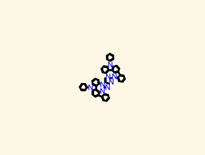 c1ccc(-n2c3ccccc3c3c2ccc2c4ccccc4n(-c4ncc5c(n4)nc4n5c5cccc6c5c5c(ccc7c8ccccc8n4c75)n6-c4ccccc4)c23)cc1